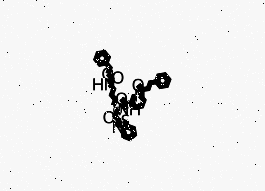 O=C(NCCCC[C@H](NC(=O)[C@@H]1CCCN(C(=O)CCc2ccccc2)C1)C(=O)c1nc2ccccc2s1)OCc1ccccc1